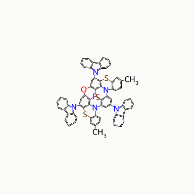 Cc1ccc2c(c1)Sc1c(-n3c4ccccc4c4ccccc43)cc3c4c1N2c1cc(-n2c5ccccc5c5ccccc52)cc2c1P4(=S)c1c(cc(-n4c5ccccc5c5ccccc54)c4c1N2c1ccc(C)cc1S4)O3